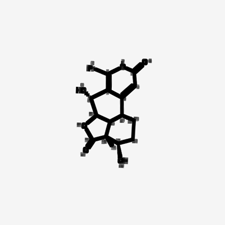 CC(C)c1oc(=O)cc2c1[C@@H](O)C1OC(=O)[C@]3(C)C1[C@]2(C)CC[C@H]3O